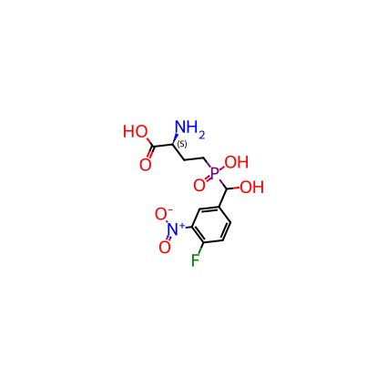 N[C@@H](CCP(=O)(O)C(O)c1ccc(F)c([N+](=O)[O-])c1)C(=O)O